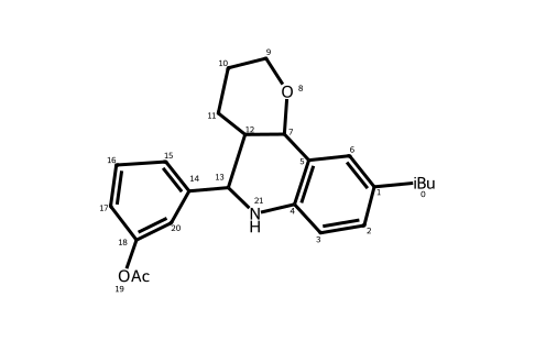 CCC(C)c1ccc2c(c1)C1OCCCC1C(c1cccc(OC(C)=O)c1)N2